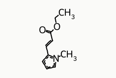 CCOC(=O)C=Cc1cccn1C